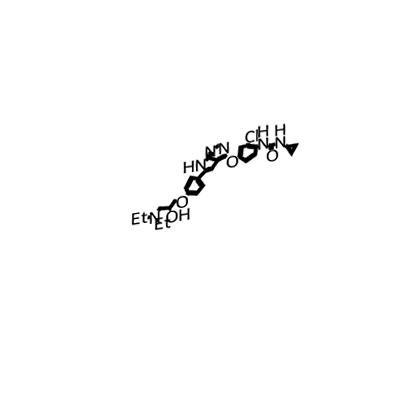 CCN(CC)C[C@H](O)COc1ccc(-c2cc3c(Oc4ccc(NC(=O)NC5CC5)c(Cl)c4)ncnc3[nH]2)cc1